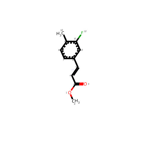 COC(=O)/C=C/c1ccc(C)c(F)c1